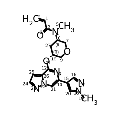 C=CC(=O)N(C)[C@H]1COC[C@H](Oc2nc(-c3cnn(C)c3)cn3nccc23)C1